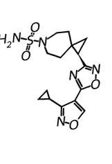 NS(=O)(=O)N1CCC2(CC1)C[C@H]2c1noc(-c2conc2C2CC2)n1